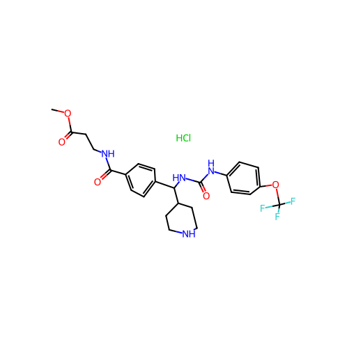 COC(=O)CCNC(=O)c1ccc(C(NC(=O)Nc2ccc(OC(F)(F)F)cc2)C2CCNCC2)cc1.Cl